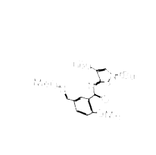 CCCCc1cn(C(C)(C)C)s/c1=N\C(=O)c1cc(C=NOC)ccc1OC